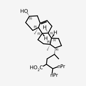 CCCC(CCC)C(CC(C)[C@H]1CC[C@H]2[C@@H]3CC=C4C[C@@H](O)CC[C@]4(C)[C@H]3CC[C@]12C)C(=O)O